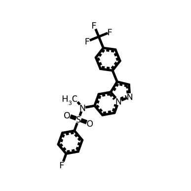 CN(c1ccn2ncc(-c3ccc(C(F)(F)F)cc3)c2c1)S(=O)(=O)c1ccc(F)cc1